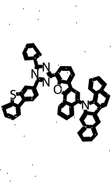 c1ccc(-c2nc(-c3ccc4c(c3)sc3ccccc34)nc(-c3cccc4c3oc3c5ccccc5c(-n5c6cc7ccccc7cc6c6ccc7ccccc7c65)cc43)n2)cc1